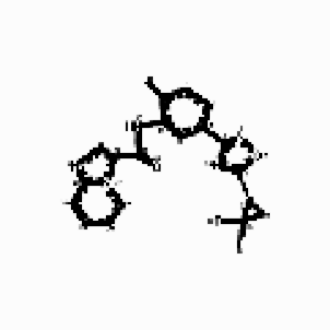 Cc1ccc(-c2noc([C@H]3CC3(F)F)n2)cc1NC(=O)c1cnc2ccccn12